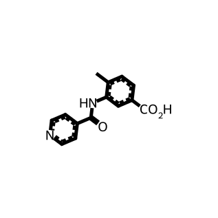 Cc1ccc(C(=O)O)cc1NC(=O)c1ccncc1